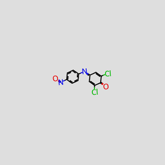 O=Nc1ccc(N=C2C=C(Cl)C(=O)C(Cl)=C2)cc1